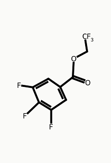 O=C(OCC(F)(F)F)c1cc(F)c(F)c(F)c1